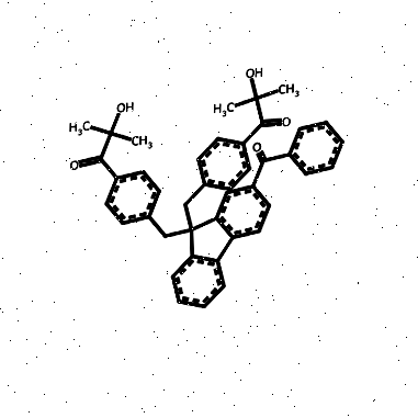 CC(C)(O)C(=O)c1ccc(CC2(Cc3ccc(C(=O)C(C)(C)O)cc3)c3ccccc3-c3ccc(C(=O)c4ccccc4)cc32)cc1